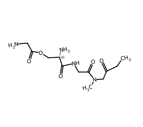 CCC(=O)CN(C)C(=O)CNC(=O)[C@@H](N)COC(=O)CN